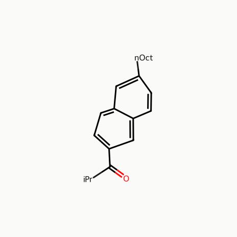 CCCCCCCCc1ccc2cc(C(=O)C(C)C)ccc2c1